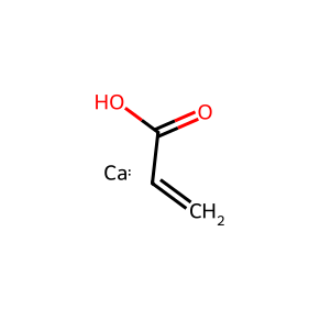 C=CC(=O)O.[Ca]